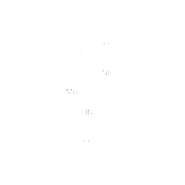 O=C([S-])NCCNC(=O)[S-].[Mn+2]